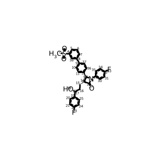 CS(=O)(=O)c1cccc(-c2ccc([C@@H]3[C@@H](CC[C@H](O)c4ccc(F)cc4)C(=O)N3c3ccc(F)cc3)cc2)c1